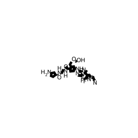 CCc1cc(Nc2nccn3c(-c4cn(CC#N)nc4C(F)(F)F)cnc23)ccc1C(=O)NCCNC(=O)[C@@H]1CC[C@@H](N)C1.O=CO